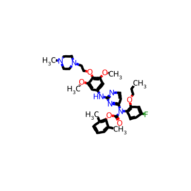 CCCOc1cc(F)ccc1N(C(=O)Oc1c(C)cccc1C)c1ccnc(Nc2cc(OC)c(OCCN3CCN(C)CC3)c(OC)c2)n1